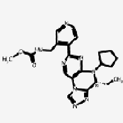 CC[C@@H]1c2nncn2-c2cnc(-c3ccncc3CNC(=O)OC)nc2N1C1CCCC1